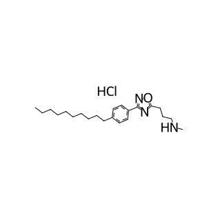 CCCCCCCCCCc1ccc(-c2noc(CCCNC)n2)cc1.Cl